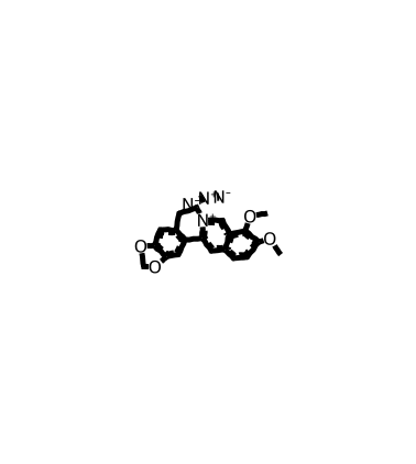 COc1ccc2cc3[n+](cc2c1OC)CCc1cc2c(cc1-3)OCO2.[N-]=[N+]=[N-]